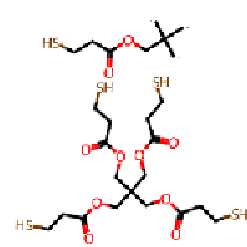 O=C(CCS)OCC(COC(=O)CCS)(COC(=O)CCS)COC(=O)CCS.[CH2]C([CH2])([CH2])COC(=O)CCS